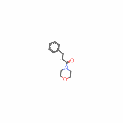 O=C([CH]Cc1ccccc1)N1CCOCC1